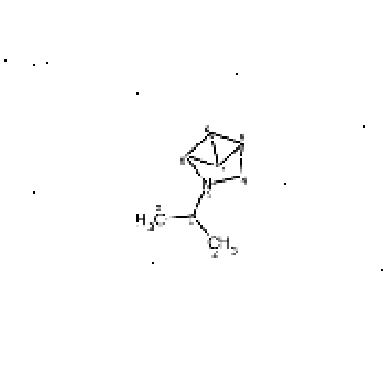 CC(C)N1CC2C3C2C31